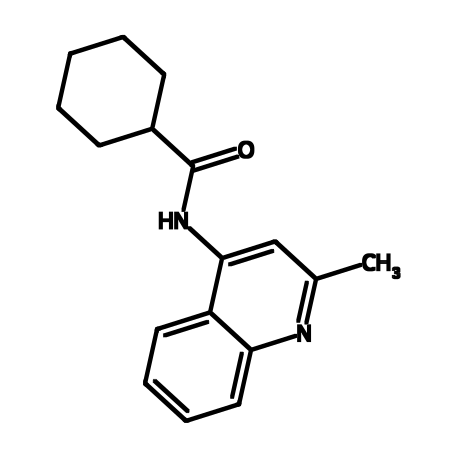 Cc1cc(NC(=O)C2CCCCC2)c2ccccc2n1